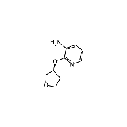 Nc1cccnc1O[C@H]1CCOC1